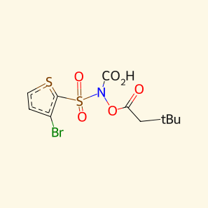 CC(C)(C)CC(=O)ON(C(=O)O)S(=O)(=O)c1sccc1Br